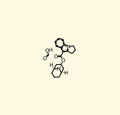 CN1[C@@H]2CCC[C@H]1CC(OC(=O)c1c3n(c4ccccc14)CCC3)C2.O=CO